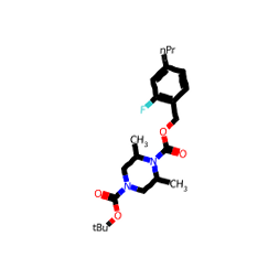 CCCc1ccc(COC(=O)N2C(C)CN(C(=O)OC(C)(C)C)CC2C)c(F)c1